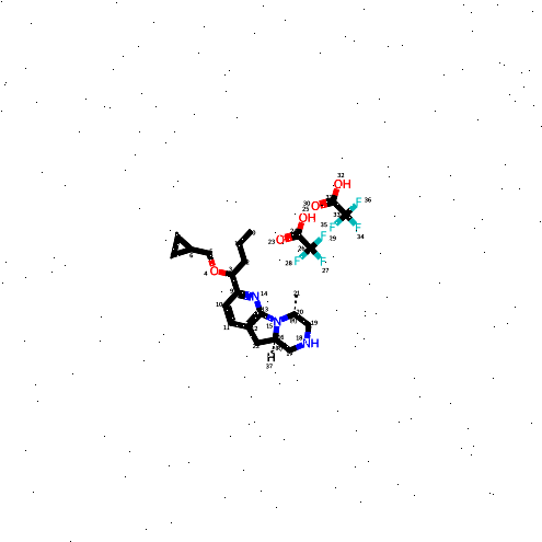 CCCC(OCC1CC1)c1ccc2c(n1)N1[C@@H](CNC[C@H]1C)C2.O=C(O)C(F)(F)F.O=C(O)C(F)(F)F